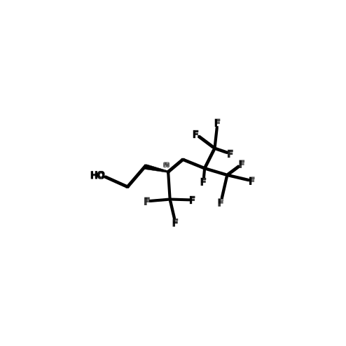 OCC[C@@H](CC(F)(C(F)(F)F)C(F)(F)F)C(F)(F)F